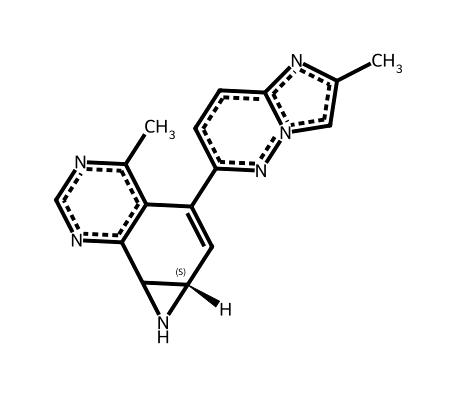 Cc1cn2nc(C3=C[C@@H]4NC4c4ncnc(C)c43)ccc2n1